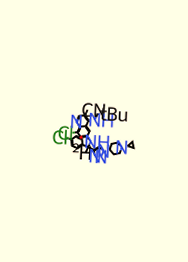 [2H]C(Nc1cc(Cl)c2ncc(C#N)c(NCC(C)(C)C)c2c1)(c1ccc(Cl)cc1)c1cn(C2CCN(C3CC3)CC2)nn1